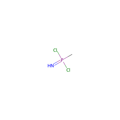 CP(=N)(Cl)Cl